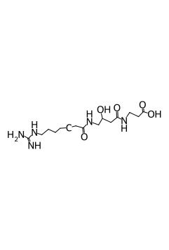 N=C(N)NCCCCCCC(=O)NCC(O)CC(=O)NCCC(=O)O